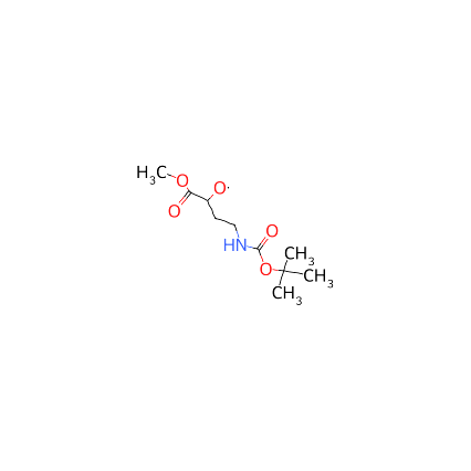 COC(=O)C([O])CCNC(=O)OC(C)(C)C